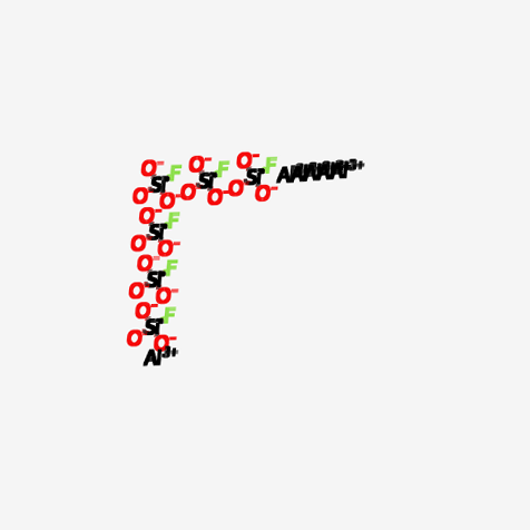 [Al+3].[Al+3].[Al+3].[Al+3].[Al+3].[Al+3].[O-][Si]([O-])([O-])F.[O-][Si]([O-])([O-])F.[O-][Si]([O-])([O-])F.[O-][Si]([O-])([O-])F.[O-][Si]([O-])([O-])F.[O-][Si]([O-])([O-])F